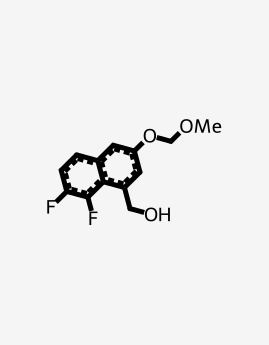 COCOc1cc(CO)c2c(F)c(F)ccc2c1